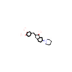 COc1cc(/C=C2\Cc3ccc(N4CCCCCC4)cc3C2=O)ccc1O